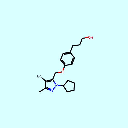 Cc1nn(C2CCCC2)c(COc2ccc(CCCO)cc2)c1C#N